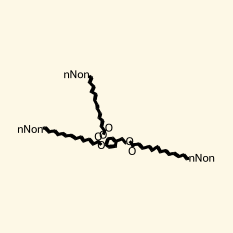 CCCCCCCCC/C=C/C=C/C=C/C=C/C=C/C=C/C(=O)OCCc1ccc(OC(=O)/C=C/C=C/C=C/C=C/C=C/C=C/CCCCCCCCC)c(OC(=O)/C=C/C=C/C=C/C=C/C=C/C=C/CCCCCCCCC)c1